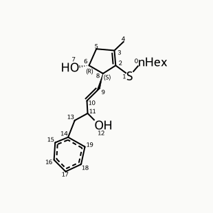 CCCCCCSC1=C(C)C[C@@H](O)[C@@H]1C=CC(O)Cc1ccccc1